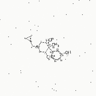 CC1CN(CC2CC2)CCC1(C)c1cccc(O)c1.Cl